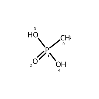 [CH]P(=O)(O)O